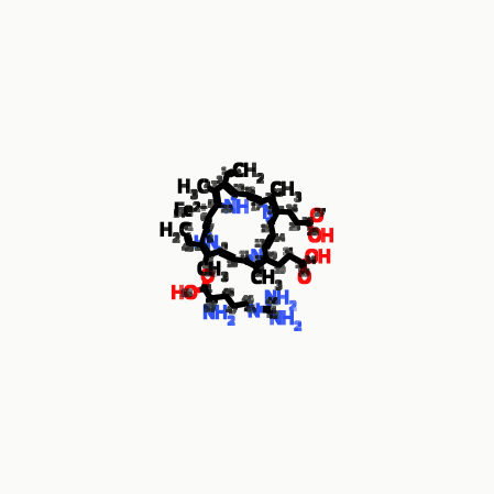 C=Cc1c(C)c2cc3[nH]c(cc4nc(cc5nc(cc1[nH]2)C(C)=C5CCC(=O)O)C(CCC(=O)O)=C4C)c(C)c3C=C.NC(N)=NCCC[C@H](N)C(=O)O.[Fe+2]